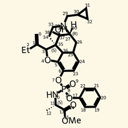 C=C(CC)C1OC2=C(OP(=O)(N[C@@H](C)C(=O)OC)Oc3ccccc3)C=CC3C[C@H]4N(CC5CC5)CC[C@@]1(C23)C4(C)O